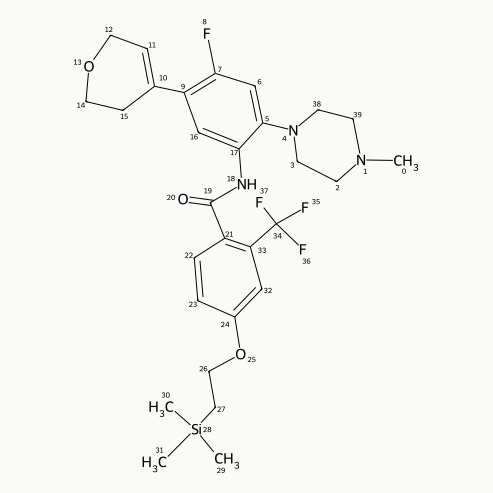 CN1CCN(c2cc(F)c(C3=CCOCC3)cc2NC(=O)c2ccc(OCC[Si](C)(C)C)cc2C(F)(F)F)CC1